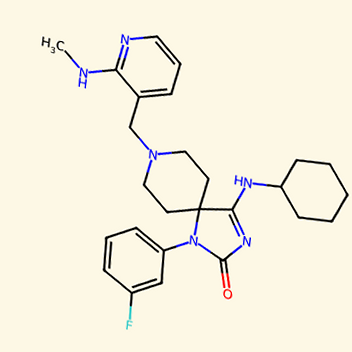 CNc1ncccc1CN1CCC2(CC1)C(NC1CCCCC1)=NC(=O)N2c1cccc(F)c1